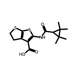 CC1(C)C(C(=O)Nc2sc3c(c2C(=O)O)CCS3)C1(C)C